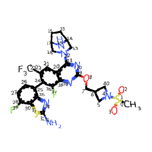 CS(=O)(=O)N1CC(COc2nc(N3CC4CCC(C3)N4)c3cc(C(F)(F)F)c(-c4ccc(F)c5sc(N)nc45)c(F)c3n2)C1